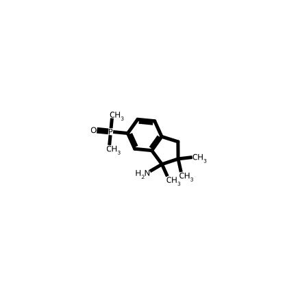 CC1(C)Cc2ccc(P(C)(C)=O)cc2C1(C)N